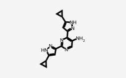 Nc1cnc(-c2cc(C3CC3)[nH]n2)nc1-c1cc(C2CC2)[nH]n1